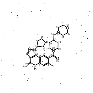 Cc1cc2[nH]c(=O)c3cnn(C4CCCC4)c3c2cc1C(=O)N1CCC(CN2CCOCC2)CC1